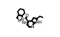 CCc1cc2c(C(=O)[N+]3(N)N=CC4=C3CCCC4)ccnc2[nH]1